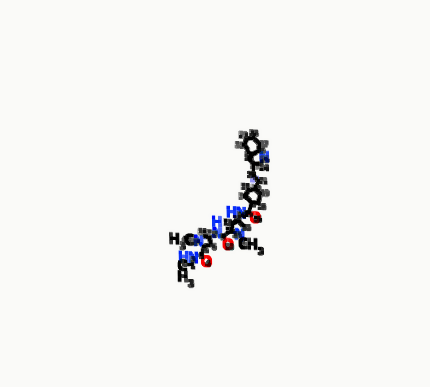 CCNC(=O)c1cc(NC(=O)c2cc(NC(=O)c3ccc(/C=C/c4cnc5ccccc5c4)cc3)cn2C)cn1C